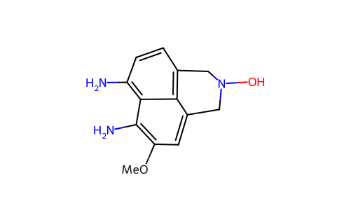 COc1cc2c3c(ccc(N)c3c1N)CN(O)C2